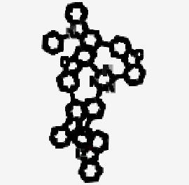 c1ccc(-c2ccc(-c3nc(-c4cccc5oc6ccc(-c7ccc8c(c7)c7ccccc7n8-c7ccccc7)cc6c45)nc(-c4cccc5oc6ccc(-c7ccc8c(c7)c7ccccc7n8-c7cccc8c7oc7ccccc78)cc6c45)n3)cc2)cc1